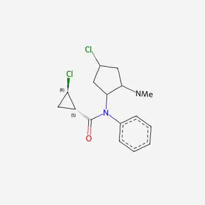 CNC1CC(Cl)CC1N(C(=O)[C@@H]1C[C@H]1Cl)c1ccccc1